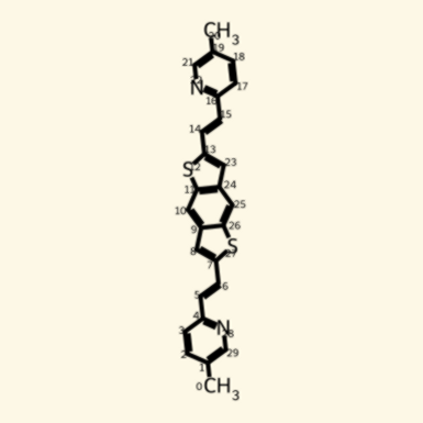 Cc1ccc(/C=C/c2cc3cc4sc(/C=C/c5ccc(C)cn5)cc4cc3s2)nc1